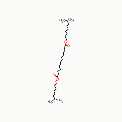 CC(C)CCCCCCCOC(=O)CCCCCCCCCCCCC(=O)OCCCCCCCC(C)C